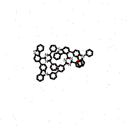 c1ccc(-c2cc(-c3ccccc3)nc(-c3c(-c4ccc5c(c4)c4ccccc4n5-c4cccc(-c5ccc(-c6nc(-c7ccccc7)nc(-c7c(-c8ccc9c(c8)c8ccccc8n9-c8ccccc8)ccc8sc9ccccc9c78)n6)cc5)c4)ccc4sc5ccccc5c34)n2)cc1